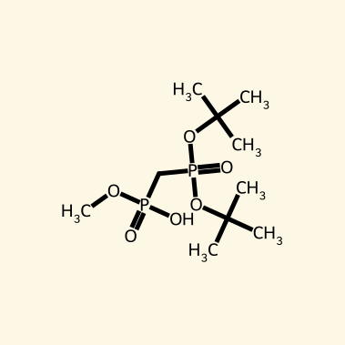 COP(=O)(O)CP(=O)(OC(C)(C)C)OC(C)(C)C